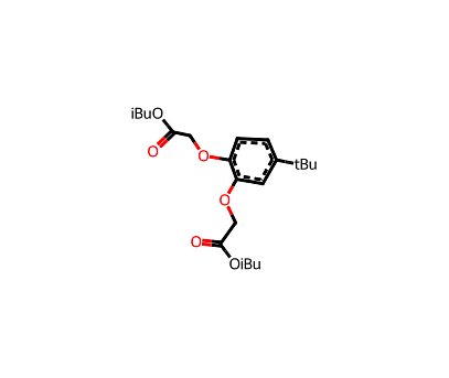 CC(C)COC(=O)COc1ccc(C(C)(C)C)cc1OCC(=O)OCC(C)C